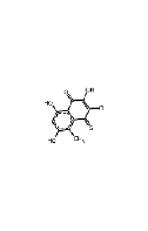 Cc1c(O)cc(O)c2c1C(=S)C(Cl)=C(O)C2=O